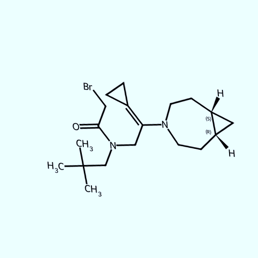 CC(C)(C)CN(CC(=C1CC1)N1CC[C@@H]2C[C@@H]2CC1)C(=O)CBr